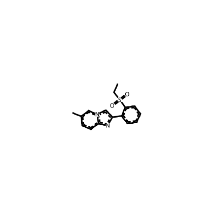 CCS(=O)(=O)c1ccccc1-c1cn2cc(C)ccc2n1